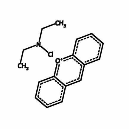 CCN(Cl)CC.c1ccc2[o+]c3ccccc3cc2c1